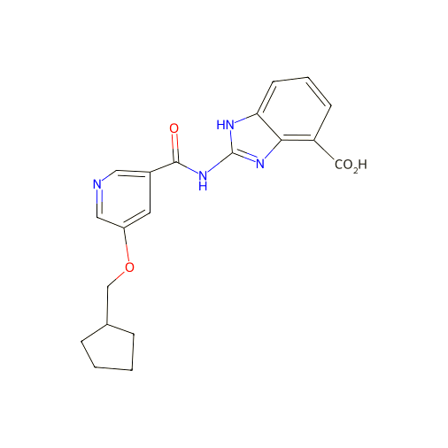 O=C(Nc1nc2c(C(=O)O)cccc2[nH]1)c1cncc(OCC2CCCC2)c1